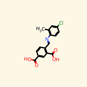 Cc1cc(Cl)ccc1/N=C/c1ccc(C(=O)O)cc1C(=O)O